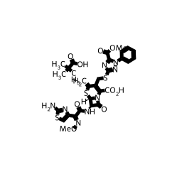 C=C1S[C@@H]2[C@H](NC(=O)C(=NOC)c3csc(N)n3)C(=O)N2C(C(=O)O)=C1CSc1nc(C(=O)OC)n(-c2ccccc2)n1.CC(C)(C)C(=O)O